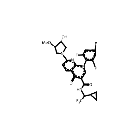 CO[C@@H]1CN(c2ccc3c(=O)c(C(=O)NC(C4CC4)C(F)(F)F)cn(-c4c(F)cc(F)cc4F)c3n2)C[C@H]1O